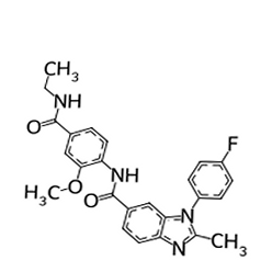 CCNC(=O)c1ccc(NC(=O)c2ccc3nc(C)n(-c4ccc(F)cc4)c3c2)c(OC)c1